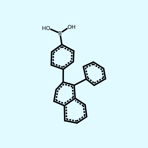 OB(O)c1ccc(-c2ccc3ccccc3c2-c2ccccc2)cc1